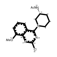 COc1cccc2c(N3CCC[C@@H](NC(C)=O)C3)nc(Cl)nc12